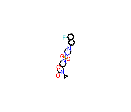 O=C1COC2(CCN(S(=O)(=O)N3CCN(c4ccc5cccc(F)c5c4)CC3)CC2)CN1C1CC1